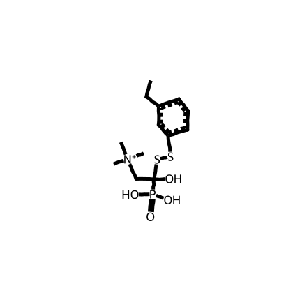 CCc1cccc(SSC(O)(C[N+](C)(C)C)P(=O)(O)O)c1